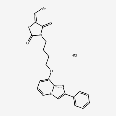 CCCC=C1SC(=O)N(CCCCOc2cccn3cc(-c4ccccc4)nc23)C1=O.Cl